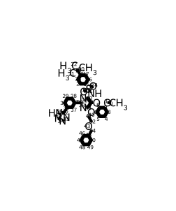 COc1ccccc1Oc1c(NS(=O)(=O)c2ccc(C(C)(C)C)cc2)nc(-c2cccc(-c3nnn[nH]3)c2)nc1OCCOCc1ccccc1